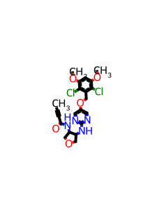 CC#CC(=O)NC1COCC1Nc1ncc(OCc2c(Cl)c(OC)cc(OC)c2Cl)cn1